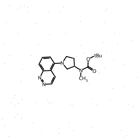 CN(C(=O)OC(C)(C)C)C1CCN(c2cccc3nnccc23)C1